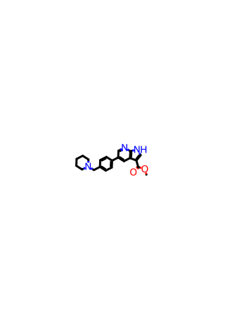 COC(=O)c1c[nH]c2ncc(-c3ccc(CN4CCCCC4)cc3)cc12